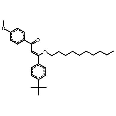 CCCCCCCCCCOC(=CC(=O)c1ccc(OC)cc1)c1ccc(C(C)(C)C)cc1